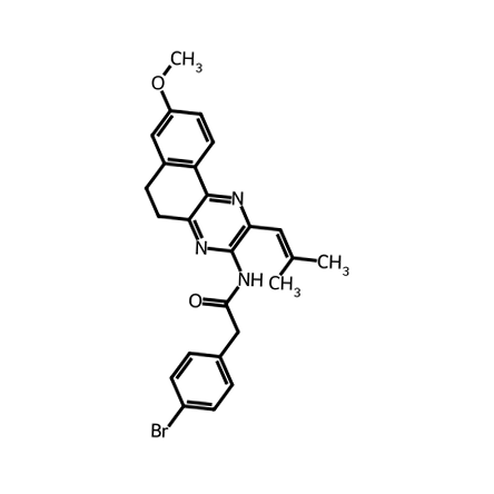 COc1ccc2c(c1)CCc1nc(NC(=O)Cc3ccc(Br)cc3)c(C=C(C)C)nc1-2